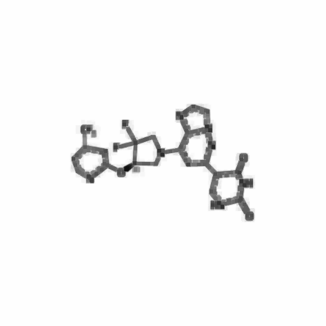 O=c1[nH]cc(-c2cc(N3C[C@@H](Oc4cc(C(F)(F)F)ccn4)C(F)(F)C3)c3nccn3n2)c(=O)[nH]1